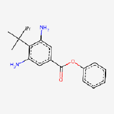 CC(C)C(C)(C)c1c(N)cc(C(=O)Oc2ccccc2)cc1N